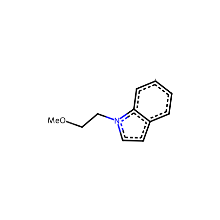 COCCn1ccc2cc[c]cc21